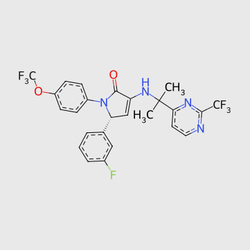 CC(C)(NC1=C[C@H](c2cccc(F)c2)N(c2ccc(OC(F)(F)F)cc2)C1=O)c1ccnc(C(F)(F)F)n1